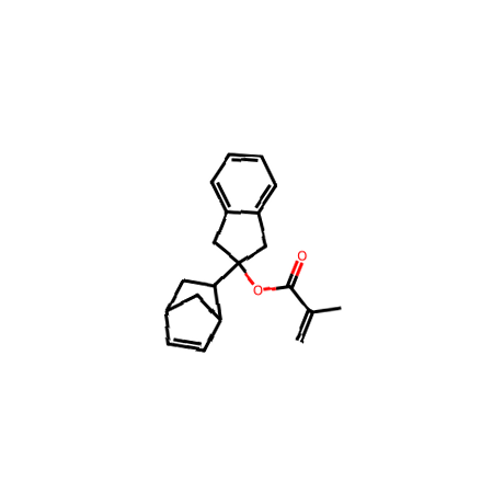 C=C(C)C(=O)OC1(C2CC3C=CC2C3)Cc2ccccc2C1